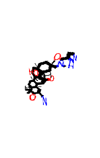 CN(C[C@@]1(C)CC[C@]2(C)CC[C@@]3(C)[C@]4(C)CC[C@H]5C(C)(C)C(=O)C(C#N)=C[C@]5(C)C4=CC(=O)[C@]3(O)[C@@H]2C1)C(=O)c1ccn[nH]1